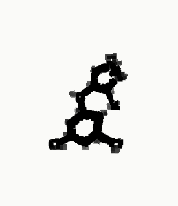 CCc1n[nH]cc1Oc1cc(Cl)cc(Cl)c1